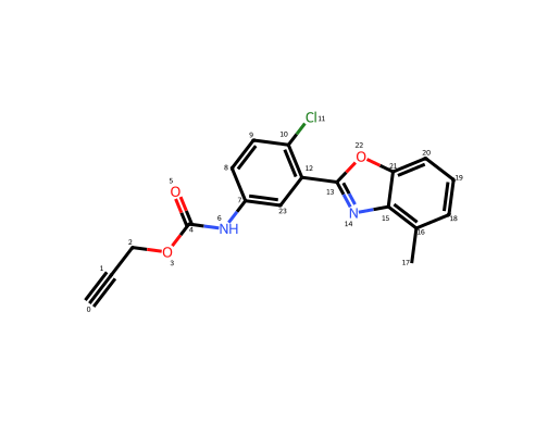 C#CCOC(=O)Nc1ccc(Cl)c(-c2nc3c(C)cccc3o2)c1